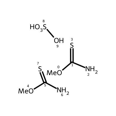 COC(N)=S.COC(N)=S.O=S(=O)(O)O